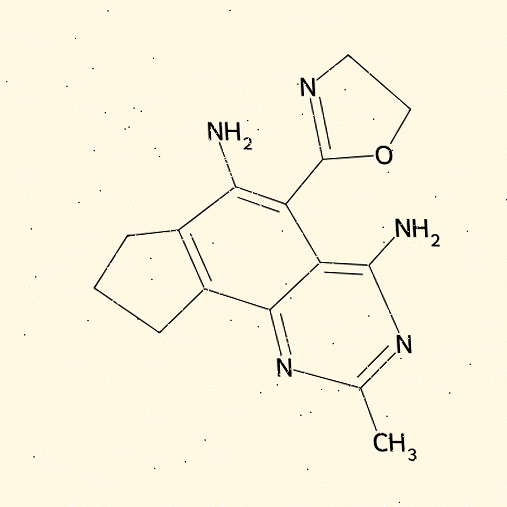 Cc1nc(N)c2c(C3=NCCO3)c(N)c3c(c2n1)CCC3